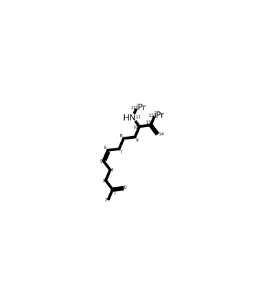 C=C(C)CC/C=C\CCCC(NC(C)C)C(=C)C(C)C